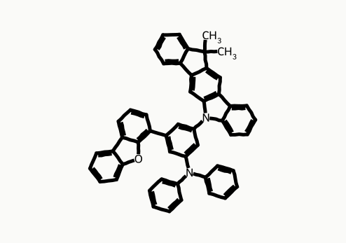 CC1(C)c2ccccc2-c2cc3c(cc21)c1ccccc1n3-c1cc(-c2cccc3c2oc2ccccc23)cc(N(c2ccccc2)c2ccccc2)c1